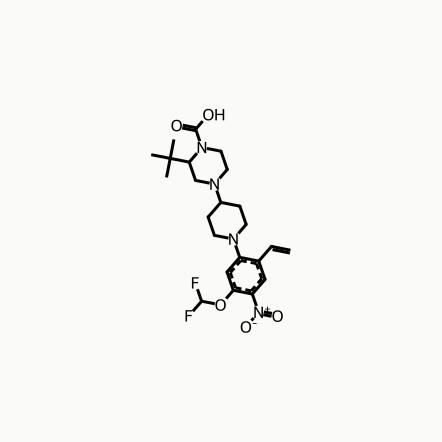 C=Cc1cc([N+](=O)[O-])c(OC(F)F)cc1N1CCC(N2CCN(C(=O)O)C(C(C)(C)C)C2)CC1